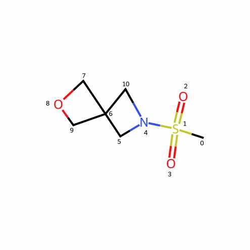 CS(=O)(=O)N1CC2(COC2)C1